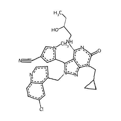 CCC(O)CNc1nc(=O)n(CC2CC2)c2nn(Cc3ccnc4ccc(Cl)cc34)c(-c3cc(C#N)cn3C)c12